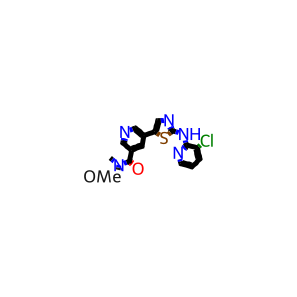 CON(C)C(=O)c1cncc(-c2cnc(Nc3ncccc3Cl)s2)c1